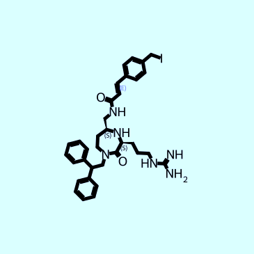 N=C(N)NCCC[C@@H]1N[C@H](CNC(=O)/C=C/c2ccc(CI)cc2)CCN(CC(c2ccccc2)c2ccccc2)C1=O